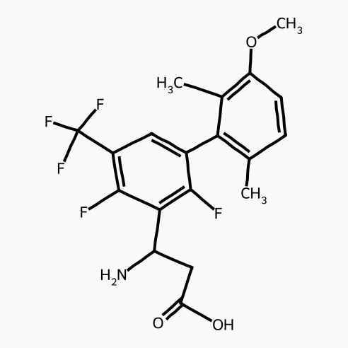 COc1ccc(C)c(-c2cc(C(F)(F)F)c(F)c(C(N)CC(=O)O)c2F)c1C